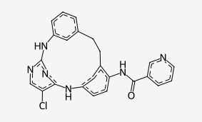 O=C(Nc1ccc2cc1CCc1cccc(c1)Nc1ncc(Cl)c(n1)N2)c1cccnc1